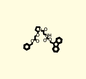 O=C(COC1CCCN1C(=O)CNC(=O)OCC1c2ccccc2-c2ccccc21)OCc1ccccc1